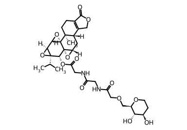 CC(C)[C@]12O[C@H]1[C@@H]1O[C@]13[C@]1(O[C@H]1C[C@H]1C4=C(CC[C@@]13C)C(=O)OC4)[C@@H]2OC(=O)CNC(=O)CNC(=O)COC[C@H]1OCC[C@@H](O)[C@@H]1O